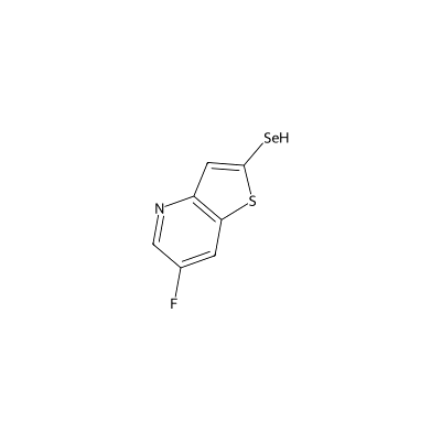 Fc1cnc2cc([SeH])sc2c1